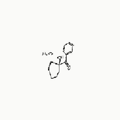 O.O=C(c1ccccc1)C1(O)CCCCC1